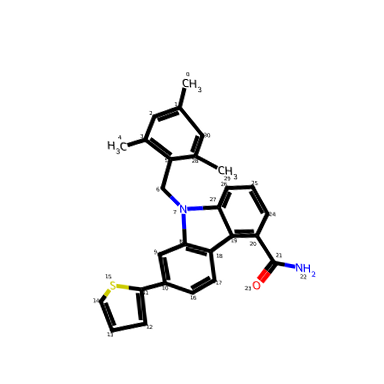 Cc1cc(C)c(Cn2c3cc(-c4cccs4)c[c]c3c3c(C(N)=O)cccc32)c(C)c1